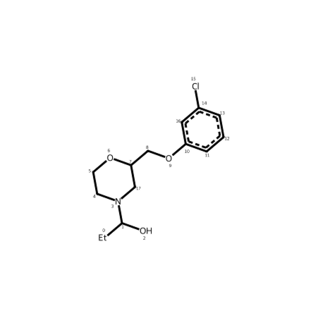 CCC(O)N1CCOC(COc2cccc(Cl)c2)C1